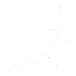 C=CS/C=C(C)/C(C)=C/SC(=C)NCCCCC